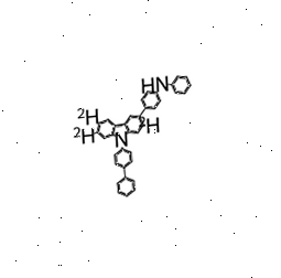 [2H]c1cc2c3cc(-c4ccc(Nc5ccccc5)cc4)c([2H])cc3n(-c3ccc(-c4ccccc4)cc3)c2cc1[2H]